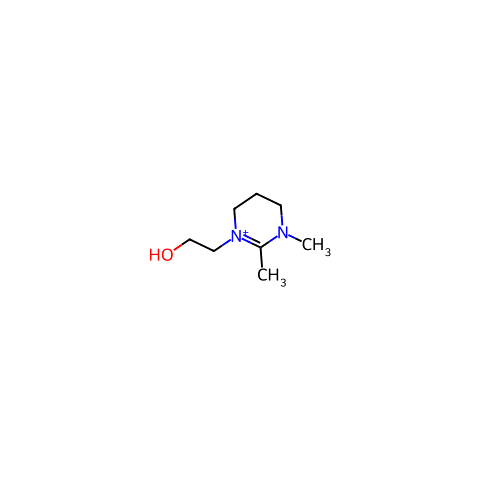 CC1=[N+](CCO)CCCN1C